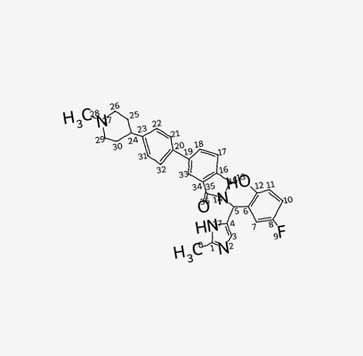 Cc1ncc(C(c2cc(F)ccc2O)N2Cc3ccc(-c4ccc(C5CCN(C)CC5)cc4)cc3C2=O)[nH]1